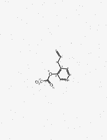 C=CCc1ccncc1OC(=O)C(Cl)(Cl)Cl